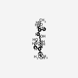 CCNC(=O)Nc1nc2cc(-c3cncc(C(O)CCCNC(=O)Nc4nc5cc(-c6cnc(C(C)(C)O)nc6)cc(-c6cc(CNCCO)ccn6)c5s4)c3)cc(-c3ccccn3)c2s1